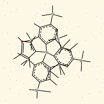 CC1=C(C)C(C)C([Si](c2c([Si](C)(C)C)cc([Si](C)(C)C)c(C)c2[Si](C)(C)C)(c2c([Si](C)(C)C)cc([Si](C)(C)C)c(C)c2[Si](C)(C)C)c2c([Si](C)(C)C)cc([Si](C)(C)C)c(C)c2[Si](C)(C)C)=C1C